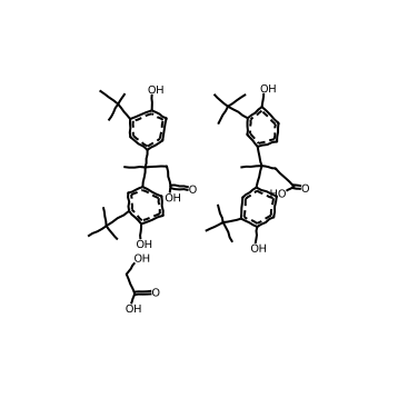 CC(C)(C)c1cc(C(C)(CC(=O)O)c2ccc(O)c(C(C)(C)C)c2)ccc1O.CC(C)(C)c1cc(C(C)(CC(=O)O)c2ccc(O)c(C(C)(C)C)c2)ccc1O.O=C(O)CO